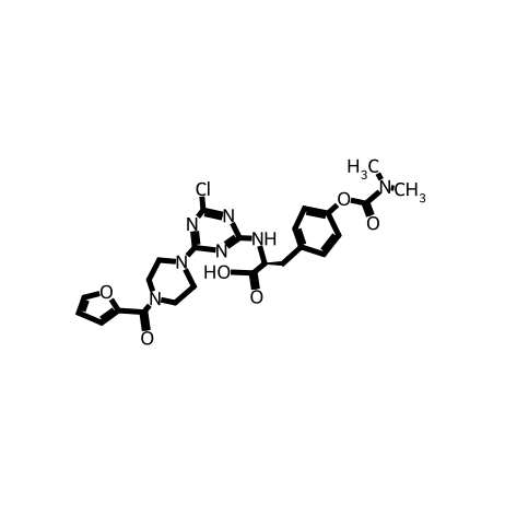 CN(C)C(=O)Oc1ccc(C[C@H](Nc2nc(Cl)nc(N3CCN(C(=O)c4ccco4)CC3)n2)C(=O)O)cc1